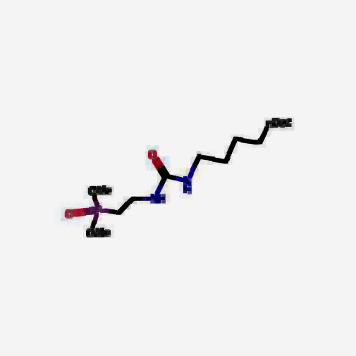 CCCCCCCCCCCCCCNC(=O)NCCP(=O)(OC)OC